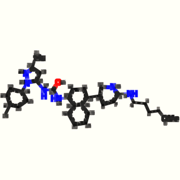 COCCCCNc1ccc(-c2ccc(NC(=O)Nc3cc(C(C)(C)C)nn3-c3ccc(C)cc3)c3ccccc23)cn1